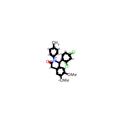 COc1cc2c(cc1OC)C(c1ccc(Cl)cc1Cl)N(c1ccc(C)cc1)C(=O)C2